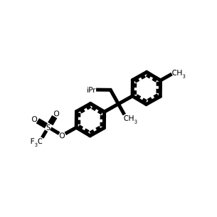 Cc1ccc(C(C)(CC(C)C)c2ccc(OS(=O)(=O)C(F)(F)F)cc2)cc1